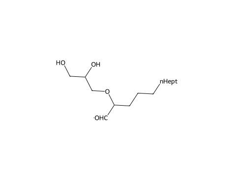 CCCCCCCCCCC([C]=O)OCC(O)CO